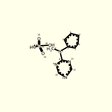 CN(c1ccccc1)c1ncncn1.[O]=[Mo](=[O])([OH])[OH]